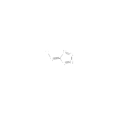 ON=C1N=NN=N1